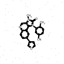 Cc1ccc(C#N)cc1-n1c(=O)n(C)c2cnc3ccc(-c4ccoc4)cc3c21